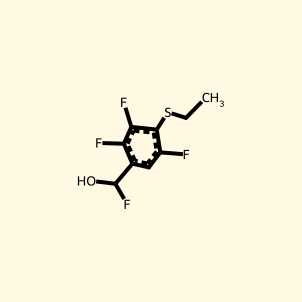 CCSc1c(F)cc(C(O)F)c(F)c1F